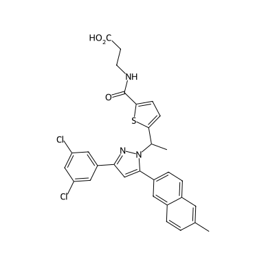 Cc1ccc2cc(-c3cc(-c4cc(Cl)cc(Cl)c4)nn3C(C)c3ccc(C(=O)NCCC(=O)O)s3)ccc2c1